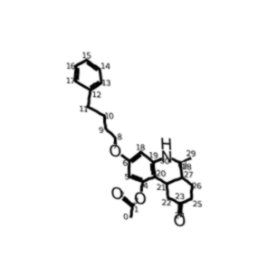 CC(=O)Oc1cc(OCCCCc2ccccc2)cc2c1C1CC(=O)CCC1[C@H](C)N2